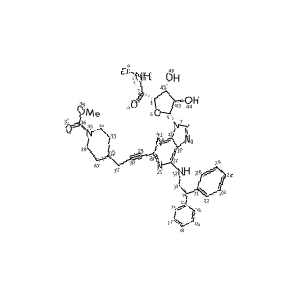 CCNC(=O)[C@H]1O[C@@H](n2cnc3c(NCC(c4ccccc4)c4ccccc4)nc(C#CCC4CCN(C(=O)OC)CC4)nc32)C(O)[C@H]1O